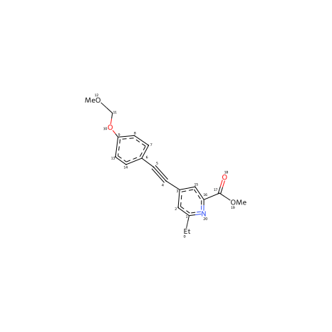 CCc1cc(C#Cc2ccc(OCOC)cc2)cc(C(=O)OC)n1